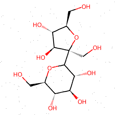 OC[C@H]1O[C@@](CO)(C2O[C@H](CO)[C@@H](O)[C@H](O)[C@H]2O)[C@@H](O)[C@@H]1O